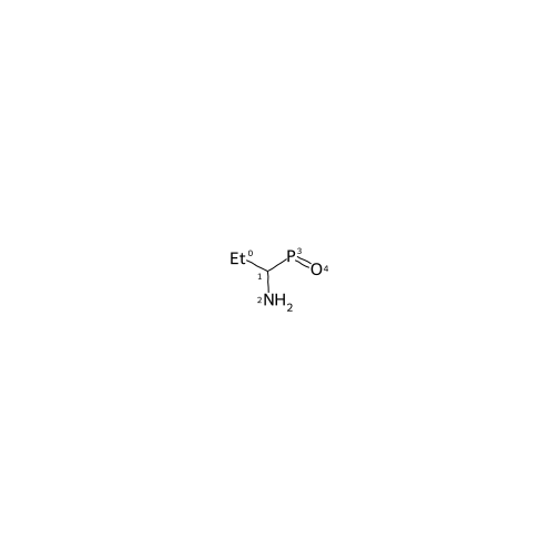 CCC(N)P=O